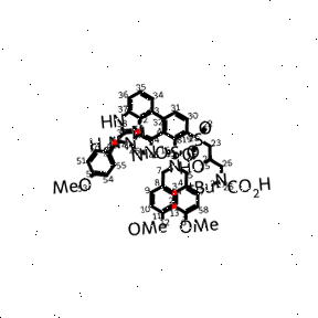 COc1ccc(CN(Cc2ccc(OC)cc2)S(=O)(=O)c2c(S(=O)(=O)CC(O)CN(C(=O)O)C(C)(C)C)ccc(-c3cccc4[nH]c(N)nc34)c2-c2nnn(Cc3ccc(OC)cc3)n2)cc1